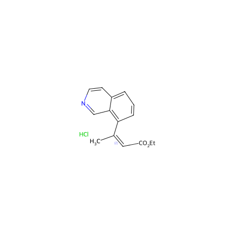 CCOC(=O)/C=C(/C)c1cccc2ccncc12.Cl